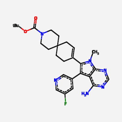 Cn1c(C2=CCC3(CC2)CCN(C(=O)OC(C)(C)C)CC3)c(-c2cncc(F)c2)c2c(N)ncnc21